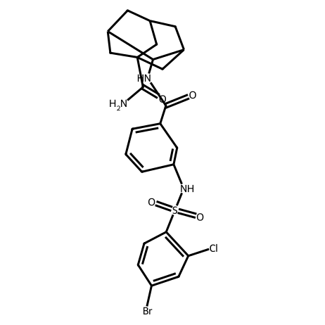 NC(=O)C12CC3CC(C1)C(NC(=O)c1cccc(NS(=O)(=O)c4ccc(Br)cc4Cl)c1)C(C3)C2